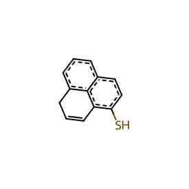 Sc1ccc2cccc3c2c1C=CC3